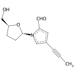 CC#Cc1cc(C=O)n([C@H]2CC[C@@H](CO)O2)c1